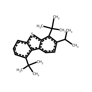 CC(C)c1ccc2c(sc3cccc(C(C)(C)C)c32)c1C(C)(C)C